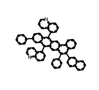 c1ccc(-c2ccc3c(-c4cccc5ncccc45)c4cc5c(cc4c(-c4cccc6ncccc46)c3c2)c(-c2ccccc2)c(-c2ccc3ccccc3c2)c2ccccc25)cc1